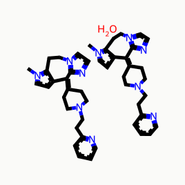 Cn1ccc2c1CCn1ccnc1C2=C1CCN(CCc2ccccn2)CC1.Cn1ccc2c1CCn1ccnc1C2=C1CCN(CCc2ccccn2)CC1.O